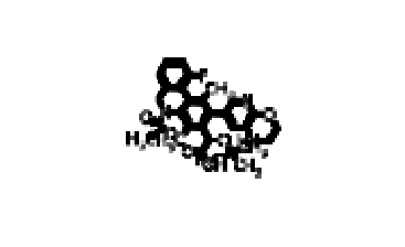 Cc1c(-c2cnc3c(c2)NCCO3)c([C@H](OC(C)(C)C)C(=O)O)c(C)c2c1-c1c(F)cccc1CN2S(C)(=O)=O